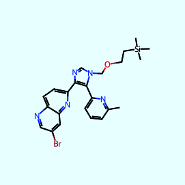 Cc1cccc(-c2c(-c3ccc4ncc(Br)cc4n3)ncn2COCC[Si](C)(C)C)n1